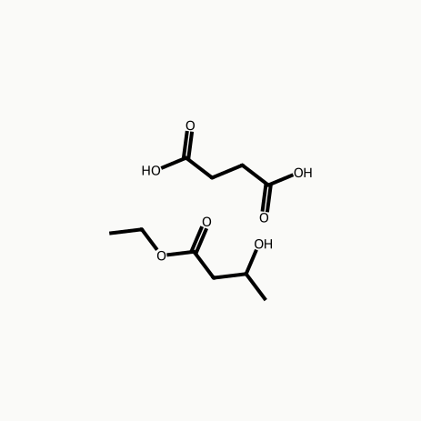 CCOC(=O)CC(C)O.O=C(O)CCC(=O)O